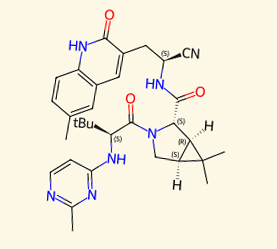 Cc1ccc2[nH]c(=O)c(C[C@@H](C#N)NC(=O)[C@@H]3[C@@H]4[C@H](CN3C(=O)[C@@H](Nc3ccnc(C)n3)C(C)(C)C)C4(C)C)cc2c1